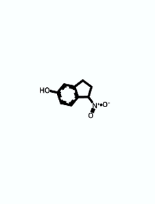 O=[N+]([O-])C1CCc2cc(O)ccc21